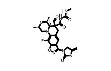 C=C1CN(c2noc3c(F)c4c(cc23)CC(C=O)(C(=O)NC(=O)NC)[C@H]2[C@H](C)O[C@H](C)CN42)C(=O)S1